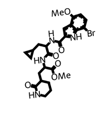 COC(=O)C(CC1CCCNC1=O)NC(=O)C(CC1CC1)NC(=O)c1cc2c(OC)ccc(Br)c2[nH]1